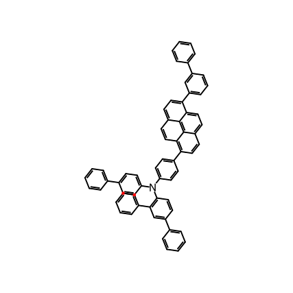 c1ccc(-c2ccc(N(c3ccc(-c4ccc5ccc6c(-c7cccc(-c8ccccc8)c7)ccc7ccc4c5c76)cc3)c3ccc(-c4ccccc4)cc3-c3ccccc3)cc2)cc1